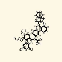 COc1ccc([C@@H](Cc2c(Cl)c[n+]([O-])cc2Cl)C(C(=O)O)c2ccc(CN(C(=O)O[C@H]3CN4CCC3CC4)c3ccccc3F)cc2)cc1OC